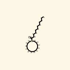 CCCCCCCCCCCC(=O)N1CCCCCCCCCCCC1